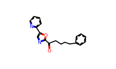 O=C(CCCCc1ccccc1)c1ncc(-c2ccccn2)o1